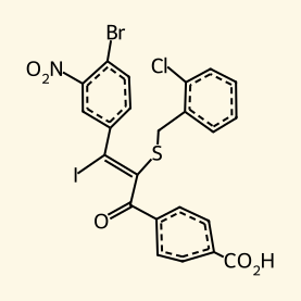 O=C(O)c1ccc(C(=O)C(SCc2ccccc2Cl)=C(I)c2ccc(Br)c([N+](=O)[O-])c2)cc1